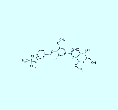 COc1cc(C(=O)O[C@H]2[C@@H](OC)O[C@H](CO)[C@@H](O)[C@@H]2O)cc(Cl)c1OCc1cccc(OC(C)(C)C)c1